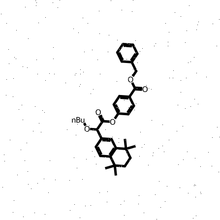 CCCCOC(C(=O)Oc1ccc(C(=O)OCc2ccccc2)cc1)c1ccc2c(c1)C(C)(C)CCC2(C)C